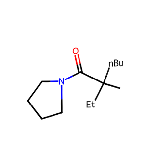 CCCCC(C)(CC)C(=O)N1CCCC1